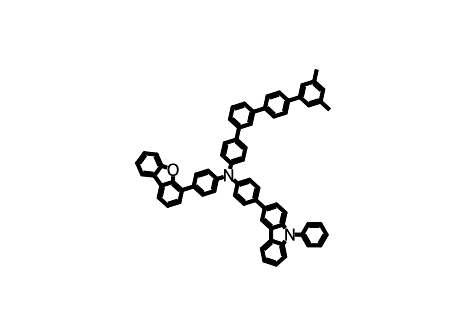 Cc1cc(C)cc(-c2ccc(-c3cccc(-c4ccc(N(c5ccc(-c6ccc7c(c6)c6ccccc6n7-c6ccccc6)cc5)c5ccc(-c6cccc7c6oc6ccccc67)cc5)cc4)c3)cc2)c1